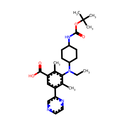 CCN(c1c(C)c(C(=O)O)cc(-c2cnccn2)c1C)C1CCC(NC(=O)OC(C)(C)C)CC1